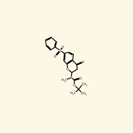 CN(C(=O)OC(C)(C)C)C1CC(=O)c2ccc(S(=O)(=O)c3ccccc3)cc2O1